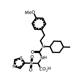 COc1ccc(CCN(C(=O)NC(C(=O)O)S(=O)(=O)c2cncs2)C2CCC(C)CC2)cc1